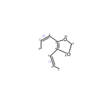 C/C=C\C1=C(/C=C\C)OCO1